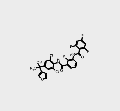 O=C(Nc1c(Cl)cc(C(O)(c2ccsc2)C(F)(F)F)cc1Cl)c1cccc(NC(=O)c2c(F)cc(F)cc2F)c1F